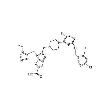 CCn1cncc1Cn1c(CN2CCN(c3nc(OCc4ccc(Cl)cc4F)ncc3F)CC2)nc2sc(C(=O)O)cc21